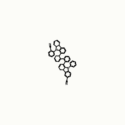 N#Cc1ccc2c(c1)C1CC=CC(c3ccccc3C3=CC=CCC3c3cccc4c3N(c3ccccc3C#N)C3C=CC=CC43)=C1N2c1ccccc1